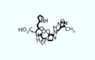 CC[C@@H](C(=O)N[C@@H](CC(=O)O)C(=O)CC1CCCN1)n1ccnc(NCc2nonc2C)c1=O